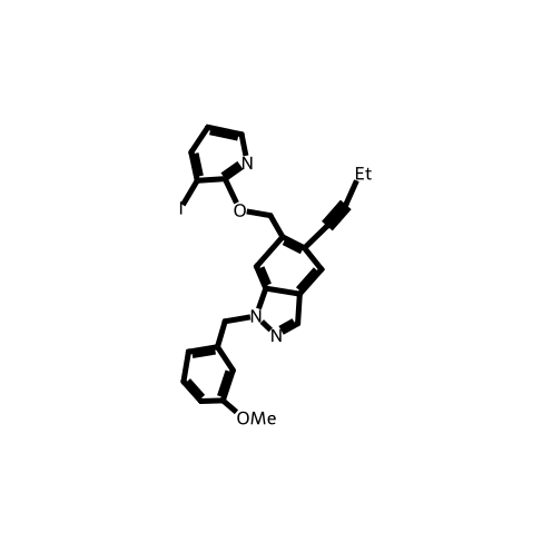 CCC#Cc1cc2cnn(Cc3cccc(OC)c3)c2cc1COc1ncccc1I